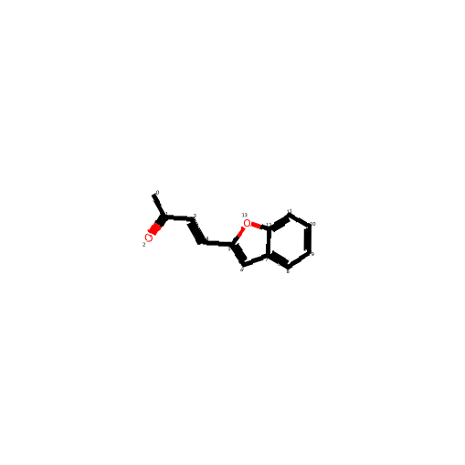 CC(=O)C=Cc1cc2ccccc2o1